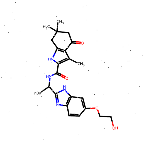 CCCCC(NC(=O)c1[nH]c2c(c1C)C(=O)CC(C)(C)C2)c1nc2ccc(OCCO)cc2[nH]1